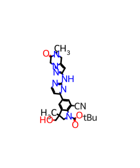 CN1Cc2cc(Nc3nccc(-c4cc(C#N)c5c(c4)C(C)(CO)CN5C(=O)OC(C)(C)C)n3)nn2CC1=O